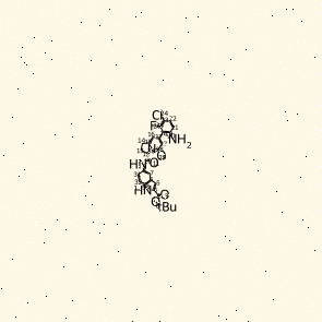 CC(C)(C)OC(=O)c1cc2cc(NC(=O)[C@@H]3CCc4cc(-c5c(N)ccc(Cl)c5F)cc(=O)n43)ccc2[nH]1